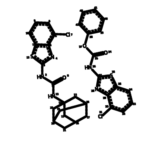 O=C(Nc1nc2c(Cl)cccc2s1)NC12CC3CC(CC(C3)C1)C2.O=C(Nc1nc2c(Cl)cccc2s1)Oc1ccccc1